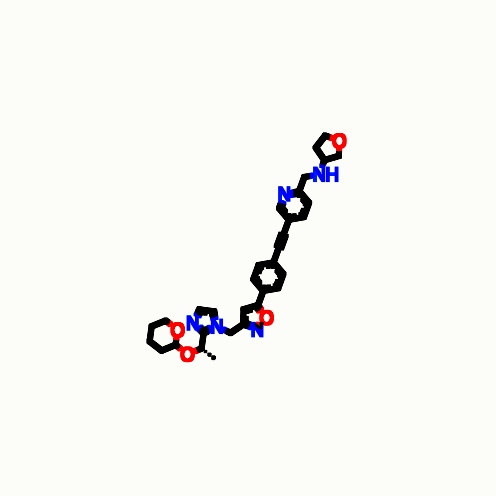 C[C@H](OC1CCCCO1)c1nccn1Cc1cc(-c2ccc(C#Cc3ccc(CNC4CCOC4)nc3)cc2)on1